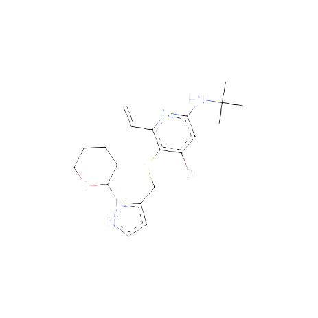 C=Cc1nc(NC(C)(C)C)cc(Br)c1SCc1ccnn1C1CCCCO1